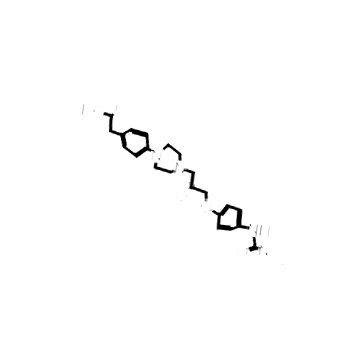 CC(C)Cc1ccc(N2CCN(C[C@H](O)COc3ccc(NC(N)=O)cc3)CC2)cc1